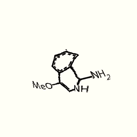 COC1=CNC(N)c2c[c]ccc21